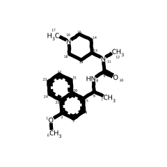 COc1ccc(C(C)NC(=O)N(C)C2CCN(C)CC2)c2ccccc12